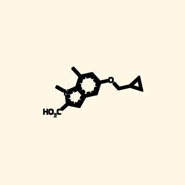 Cc1cc(OCC2CC2)cc2cc(C(=O)O)n(C)c12